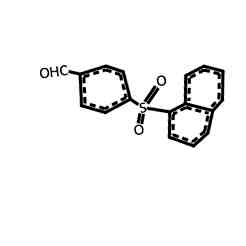 O=Cc1ccc(S(=O)(=O)c2cccc3ccccc23)cc1